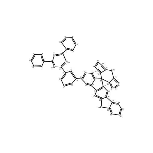 c1ccc(-c2nc(-c3ccccc3)nc(-c3cccc(-c4ccc5c(c4)-c4cc6oc7ccccc7c6cc4C54c5ccccc5Sc5ccccc54)c3)n2)cc1